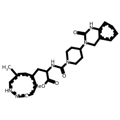 COC(=O)C(Cc1cccn[nH]cc(C)c1)NC(=O)N1CCC(N2Cc3ccccc3NC2=O)CC1